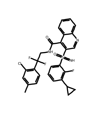 Cc1ccc(C(F)(F)CNC(=O)c2c(S(=N)(=O)c3cccc(C4CC4)c3F)cnc3ccccc23)c(Cl)c1